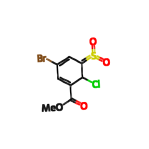 COC(=O)C1=CC(Br)=CC(=S(=O)=O)C1Cl